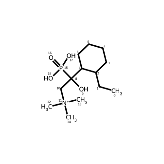 CCC1CCCCC1C(O)(C[N+](C)(C)C)P(=O)(O)O